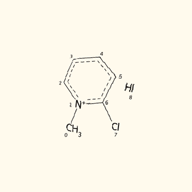 C[n+]1ccccc1Cl.I